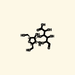 O=CC(O)C(O)C(O)C(O)C(=O)O.OC[C@H]1O[C@H](CO)[C@@H](O)[C@@H]1O